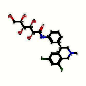 CN1Cc2c(Cl)cc(Cl)cc2[C@@H](c2cccc(NC(=O)[C@H](O)[C@@H](O)[C@H](O)[C@H](O)CO)c2)C1